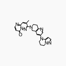 Cc1cc2nccc(=O)n2nc1N1CCc2ncc(N3CCCn4nccc43)cc2C1